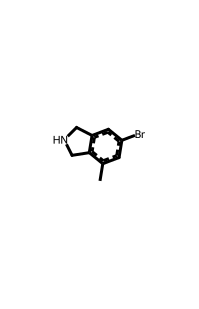 Cc1cc(Br)cc2c1CNC2